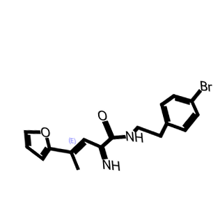 C/C(=C\C(=N)C(=O)NCCc1ccc(Br)cc1)c1ccco1